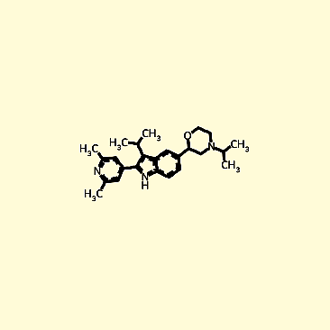 Cc1cc(-c2[nH]c3ccc(C4CN(C(C)C)CCO4)cc3c2C(C)C)cc(C)n1